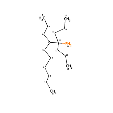 CCCCCCC(CCC)C(P)(CCC)CCC